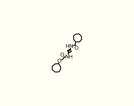 O=C(COC1CCCCCCC1)NC12CC(NC(=O)C3CCCCCCC3)(C1)C2